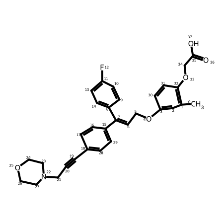 Cc1cc(OC/C=C(\c2ccc(F)cc2)c2ccc(C#CCN3CCOCC3)cc2)ccc1OCC(=O)O